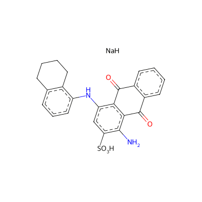 Nc1c(S(=O)(=O)O)cc(Nc2cccc3c2CCCC3)c2c1C(=O)c1ccccc1C2=O.[NaH]